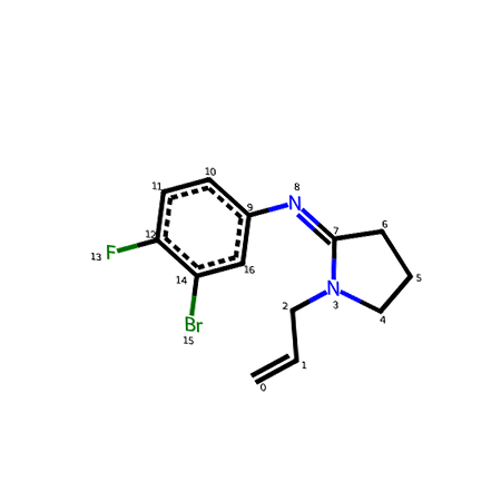 C=CCN1CCCC1=Nc1ccc(F)c(Br)c1